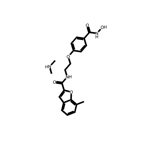 CNC.Cc1cccc2cc(C(=O)NCCOc3ccc(C(=O)NO)cc3)oc12